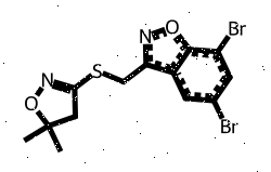 CC1(C)CC(SCc2noc3c(Br)cc(Br)cc23)=NO1